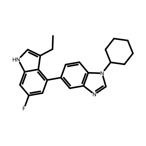 CCc1c[nH]c2cc(F)cc(-c3ccc4c(c3)ncn4C3CCCCC3)c12